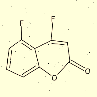 O=c1cc(F)c2c(F)cccc2o1